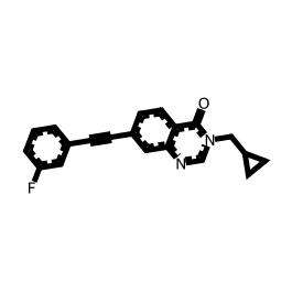 O=c1c2ccc(C#Cc3cccc(F)c3)cc2ncn1CC1CC1